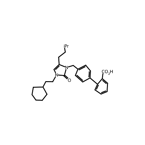 CC(C)CCc1cn(CCC2CCCCC2)c(=O)n1Cc1ccc(-c2ccccc2C(=O)O)cc1